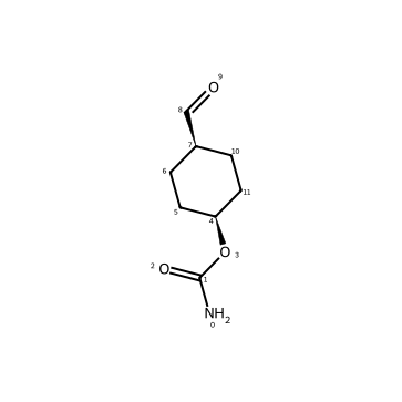 NC(=O)O[C@H]1CC[C@@H](C=O)CC1